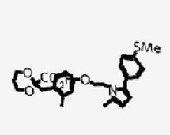 CSc1ccc(-c2ccc(C)n2CCOc2ccc(CC3(C(=O)O)OCCCO3)c(C)c2)cc1